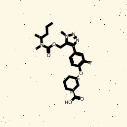 CCCC(C)N(C)C(=O)OCc1c(-c2ccc(O[C@H]3CCC[C@H](C(=O)O)C3)c(F)c2)nnn1C